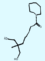 CC(CO)(CO)CCCCC(=O)N1CCCCC1